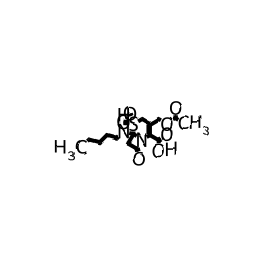 CCCCCNC12CC(=O)N1C(C(=O)O)=C(COC(C)=O)CS2(=O)=O